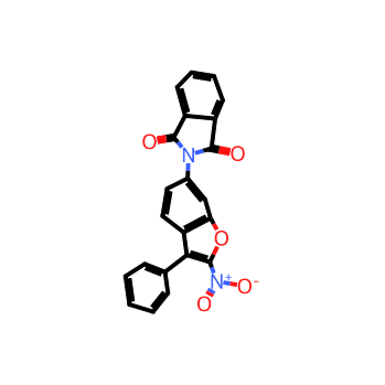 O=C1c2ccccc2C(=O)N1c1ccc2c(-c3ccccc3)c([N+](=O)[O-])oc2c1